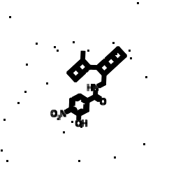 CC1C2CCC2C1C1C(CNC(=O)c2ccc([N+](=O)[O-])c(O)c2)C2C3CCC3C21